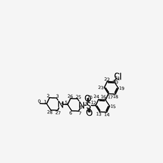 CC1CCN(C2CCN(S(=O)(=O)c3cccc(-c4ccc(Cl)cc4)c3)CC2)CC1